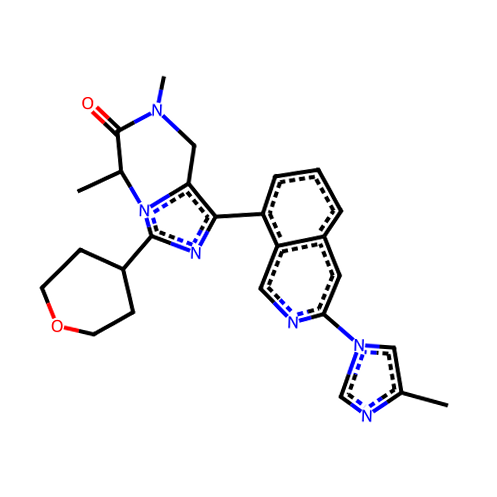 Cc1cn(-c2cc3cccc(-c4nc(C5CCOCC5)n5c4CN(C)C(=O)C5C)c3cn2)cn1